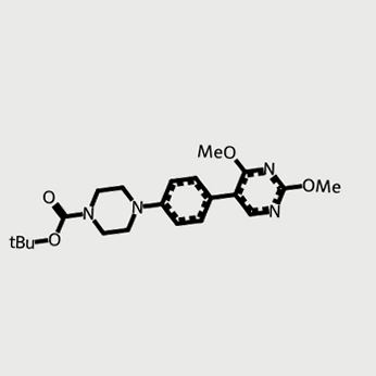 COc1ncc(-c2ccc(N3CCN(C(=O)OC(C)(C)C)CC3)cc2)c(OC)n1